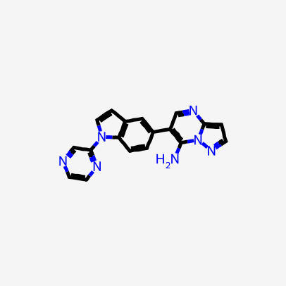 Nc1c(-c2ccc3c(ccn3-c3cnccn3)c2)cnc2ccnn12